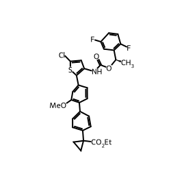 CCOC(=O)C1(c2ccc(-c3ccc(-c4sc(Cl)cc4NC(=O)O[C@H](C)c4cc(F)ccc4F)cc3OC)cc2)CC1